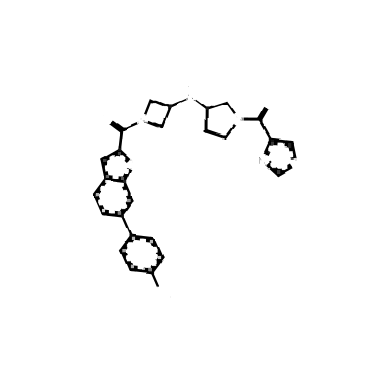 O=C(c1cscn1)N1CCC(NC2CN(C(=O)c3cc4ccc(-c5ccc(C(F)(F)F)cc5)cc4s3)C2)C1